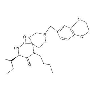 CCCCN1C(=O)[C@@H](C(C)CC)NC(=O)C12CCN(Cc1ccc3c(c1)OCCO3)CC2